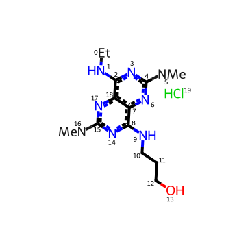 CCNc1nc(NC)nc2c(NCCCO)nc(NC)nc12.Cl